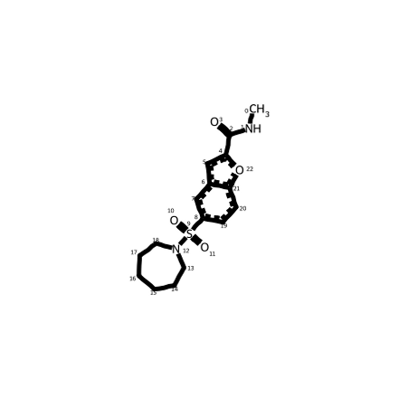 CNC(=O)c1cc2cc(S(=O)(=O)N3CCCCCC3)ccc2o1